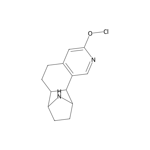 ClOc1cc2c(cn1)C1C3CCC(N3)C1CC2